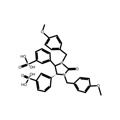 COc1ccc(CN2C(=O)N(Cc3ccc(OC)cc3)[C@H](c3cccc(P(=O)(O)O)c3)C2c2cccc(P(=O)(O)O)c2)cc1